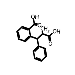 CC(C(=O)O)C(c1ccccc1)c1ccccc1C(=O)O